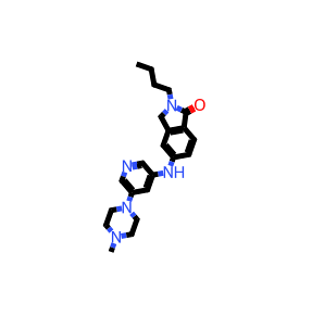 CCCCN1Cc2cc(Nc3cncc(N4CCN(C)CC4)c3)ccc2C1=O